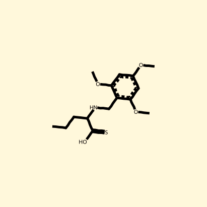 CCCC(NCc1c(OC)cc(OC)cc1OC)C(O)=S